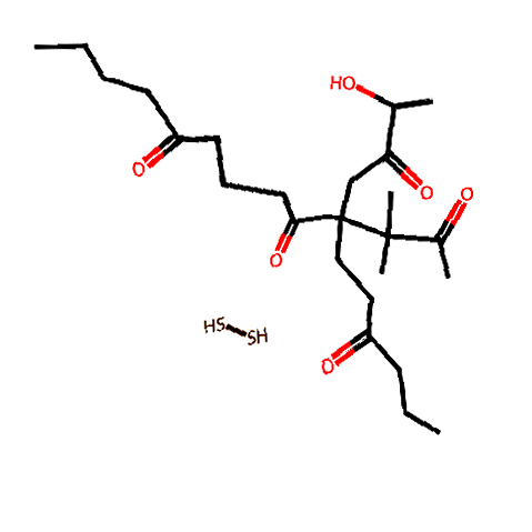 CCCCC(=O)CCCC(=O)C(CCC(=O)CCC)(CC(=O)C(C)O)C(C)(C)C(C)=O.SS